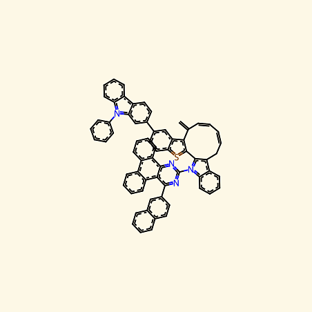 C=C1/C=C\C=C/Cc2c(n(-c3nc(-c4ccc5ccccc5c4)c4c5ccccc5c5ccccc5c4n3)c3ccccc23)-c2sc3ccc(-c4ccc5c6ccccc6n(-c6ccccc6)c5c4)cc3c21